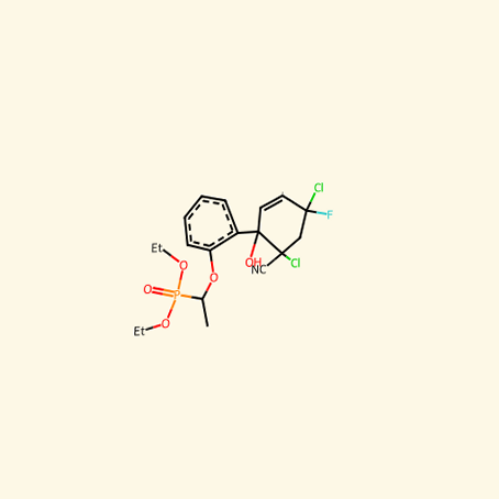 CCOP(=O)(OCC)C(C)Oc1ccccc1C1(O)C=[C]C(F)(Cl)CC1(Cl)C#N